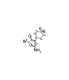 NC(=O)O[C@H](C(=O)CBr)C1CCC(F)(F)CC1